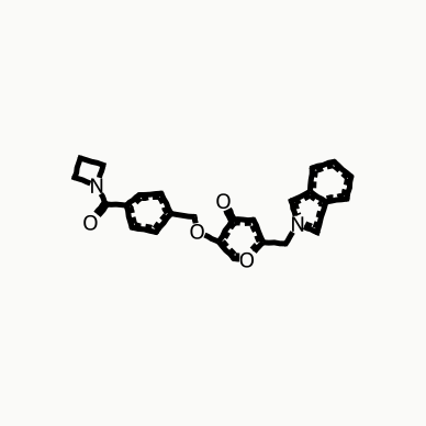 O=C(c1ccc(COc2coc(Cn3cc4ccccc4c3)cc2=O)cc1)N1CCC1